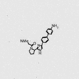 CNCC(=O)N1CCCC1c1nc(-c2ccc(-c3ccc(N)cc3)cc2)c[nH]1